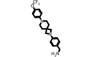 NCc1ccc(N2CC3(CCN(c4ccc(OC(F)(F)F)cc4)CC3)C2)cc1